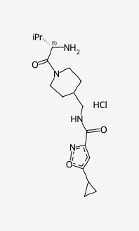 CC(C)[C@H](N)C(=O)N1CCC(CNC(=O)c2cc(C3CC3)on2)CC1.Cl